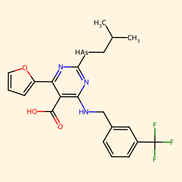 CC(C)C[AsH]c1nc(NCc2cccc(C(F)(F)F)c2)c(C(=O)O)c(-c2ccco2)n1